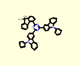 CC1(C)c2ccccc2-c2c(-c3nc(-c4ccc5c(c4)c4ccccc4n5-c4ccccc4)nc(-c4ccc5c(c4)c4ccccc4n5-c4ccccc4)n3)cccc21